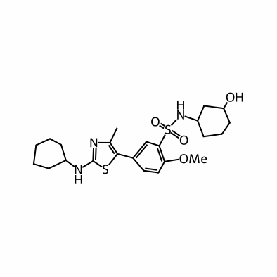 COc1ccc(-c2sc(NC3CCCCC3)nc2C)cc1S(=O)(=O)NC1CCCC(O)C1